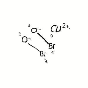 [Cu+2].[O-]Br.[O-]Br